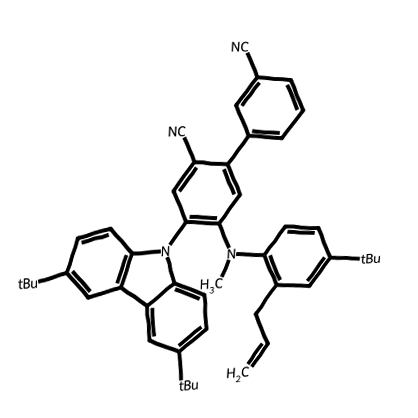 C=CCc1cc(C(C)(C)C)ccc1N(C)c1cc(-c2cccc(C#N)c2)c(C#N)cc1-n1c2ccc(C(C)(C)C)cc2c2cc(C(C)(C)C)ccc21